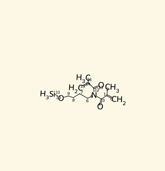 C=C(C)C(=O)N(CCCCO[SiH3])C(=O)C(=C)C